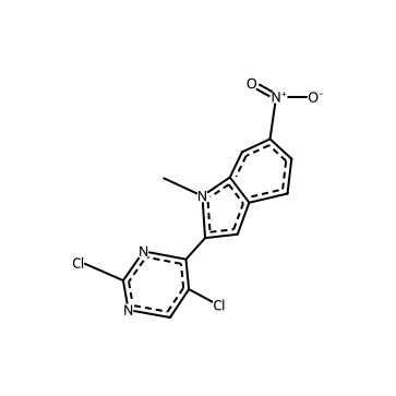 Cn1c(-c2nc(Cl)ncc2Cl)cc2ccc([N+](=O)[O-])cc21